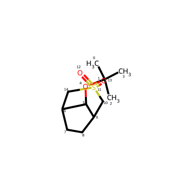 CC(C)(C)OC1C2CCC1CS(=O)(=O)C2